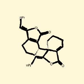 CCC/C=C1\OC(=O)C2=C1CCC[C@H]2[C@@]12CCCC=C1C(=O)O/C2=C\CCC